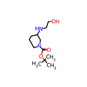 CC(C)(C)OC(=O)N1CCCC(NCCO)C1